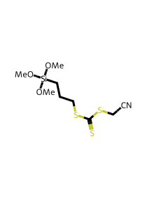 CO[Si](CCCSC(=S)SCC#N)(OC)OC